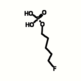 O=P(O)(O)OCCCCCF